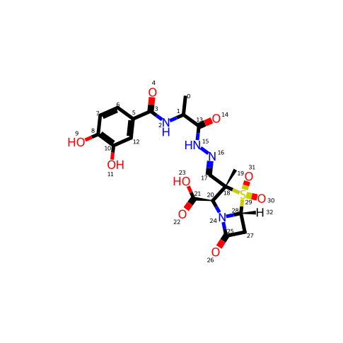 CC(NC(=O)c1ccc(O)c(O)c1)C(=O)N/N=C/[C@@]1(C)[C@H](C(=O)O)N2C(=O)C[C@H]2S1(=O)=O